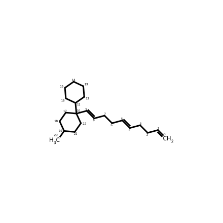 C=CCCC=CCCC=CC1(C2CCCCC2)CCC(C)CC1